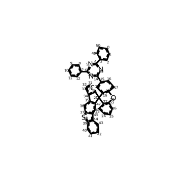 c1ccc(-c2nc(-c3ccccc3)nc(-c3ccc4c(c3)C3(c5ccccc5O4)c4ccccc4-c4cc5sc6ccccc6c5cc43)n2)cc1